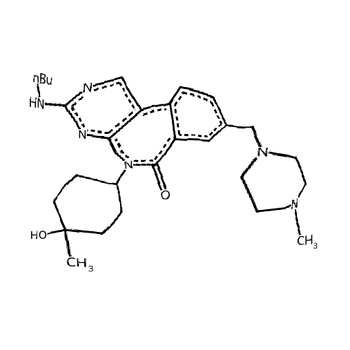 CCCCNc1ncc2c3ccc(CN4CCN(C)CC4)cc3c(=O)n(C3CCC(C)(O)CC3)c2n1